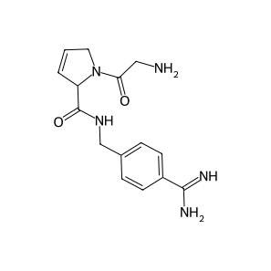 N=C(N)c1ccc(CNC(=O)C2C=CCN2C(=O)CN)cc1